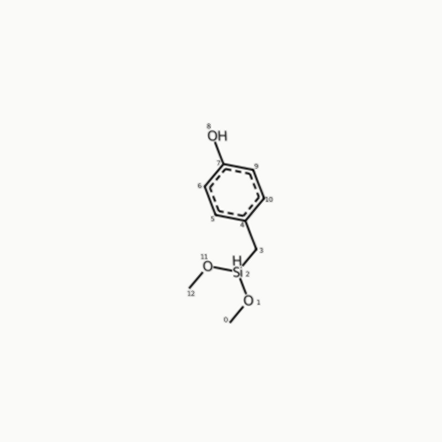 CO[SiH](Cc1ccc(O)cc1)OC